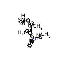 CCc1nc(/C=C/c2cn(-c3ccccc3)nc2OCc2ccc(OCc3nc(-c4cccc(-c5noc(=S)[nH]5)c4)oc3C)c(OC)c2)cs1